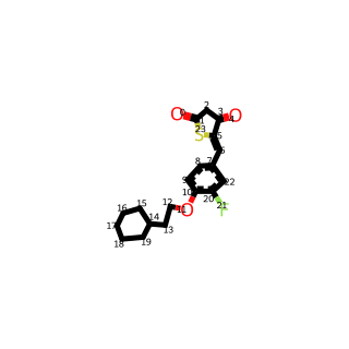 O=C1CC(=O)/C(=C/c2ccc(OCCC3CCCCC3)c(F)c2)S1